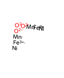 [Fe+3].[Fe+3].[Mn].[Mn].[Ni].[Ni].[O-2].[O-2].[O-2]